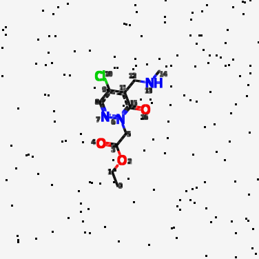 CCOC(=O)Cn1ncc(Cl)c(CNC)c1=O